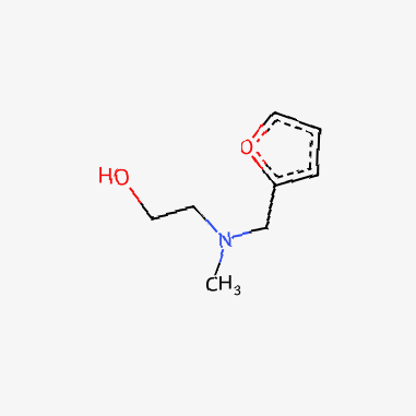 CN(CCO)Cc1ccco1